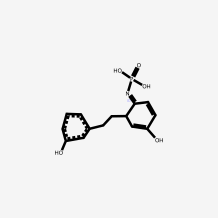 O=P(O)(O)/N=C1\C=CC(O)=CC1CCc1cccc(O)c1